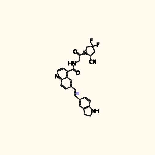 N#CC1CC(F)(F)CN1C(=O)CNC(=O)c1ccnc2ccc(/C=C/c3ccc4c(c3)CCN4)cc12